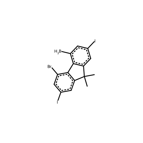 Bc1cc(I)cc2c1-c1c(Br)cc(I)cc1C2(C)C